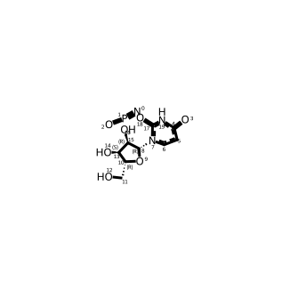 N#P=O.O=c1ccn([C@@H]2O[C@H](CO)[C@@H](O)[C@H]2O)c(=O)[nH]1